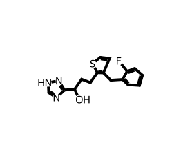 OC(CCc1sccc1Cc1ccccc1F)c1nc[nH]n1